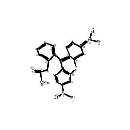 CCN(CC)c1ccc2c(-c3ccccc3CC(=O)OC)c3ccc(=[N+](CC)CC)cc-3oc2c1